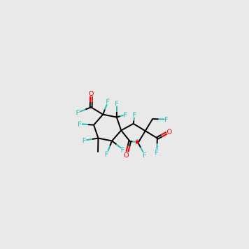 CC1(F)C(F)C(F)(C(=O)F)C(F)(F)C(C(=O)F)(C(F)C(CF)(CF)C(=O)F)C1(F)F